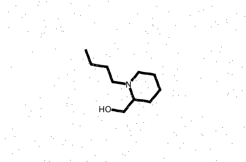 CCCCN1CCCCC1CO